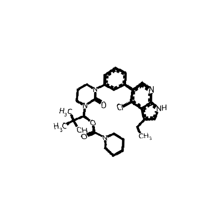 CCc1c[nH]c2ncc(-c3cccc(N4CCCN(C(OC(=O)N5CCCCC5)C(C)(C)C)C4=O)c3)c(Cl)c12